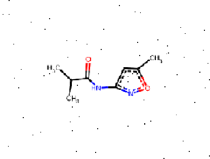 Cc1cc(NC(=O)C(C)C)no1